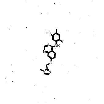 Cc1cc(F)c(Nc2ncnc3cc(OCc4nccn4C)ccc23)cc1O